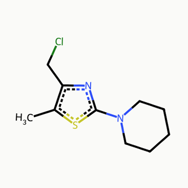 Cc1sc(N2CCCCC2)nc1CCl